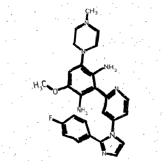 COc1cc(N2CCN(C)CC2)c(N)c(-c2cc(-n3ccnc3-c3ccc(F)cc3)ccn2)c1N